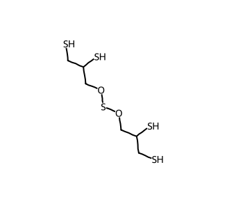 SCC(S)COSOCC(S)CS